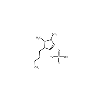 CCCCN1C=CN(C)C1C.O=P(O)(O)O